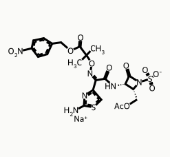 CC(=O)OC[C@@H]1[C@H](NC(=O)C(=NOC(C)(C)C(=O)OCc2ccc([N+](=O)[O-])cc2)c2csc(N)n2)C(=O)N1S(=O)(=O)[O-].[Na+]